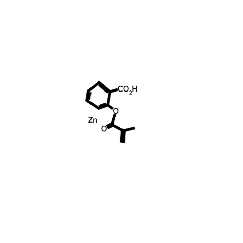 C=C(C)C(=O)Oc1ccccc1C(=O)O.[Zn]